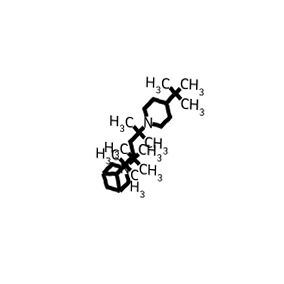 CC(C)(C)C1CCN(C(C)(C)CCC(C)(C)C2C3CC2CN(C(C)(C)C)C3)CC1